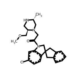 COC[C@H]1CN[C@H](C)CN1CC(=O)N1CC2(Cc3ccccc3C2)c2ccc(Cl)cc21